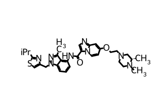 Cc1nn(Cc2csc(C(C)C)n2)c2cccc(NC(=O)c3cnc4cc(OCCN5CCN(C)[C@@H](C)C5)ccn34)c12